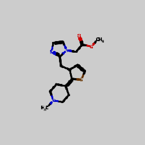 COC(=O)Cn1ccnc1CC1C=CSC1=C1CCN(C)CC1